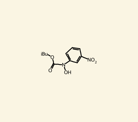 CCC(C)OC(=O)N(O)c1cccc([N+](=O)[O-])c1